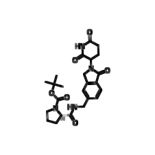 CC(C)(C)OC(=O)N1CCC[C@H]1C(=O)NCc1ccc2c(c1)CN(C1CCC(=O)NC1=O)C2=O